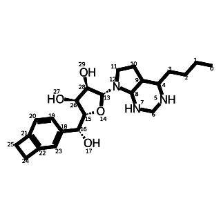 CCCCC1NCNC2C1CCN2[C@@H]1O[C@H]([C@H](O)c2ccc3c(c2)CC3)[C@@H](O)[C@H]1O